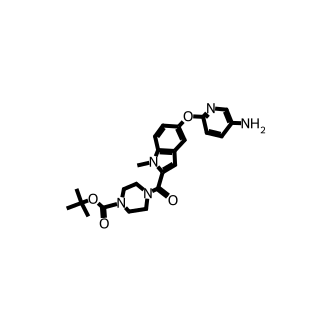 Cn1c(C(=O)N2CCN(C(=O)OC(C)(C)C)CC2)cc2cc(Oc3ccc(N)cn3)ccc21